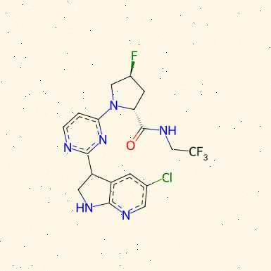 O=C(NCC(F)(F)F)[C@H]1C[C@H](F)CN1c1ccnc(C2CNc3ncc(Cl)cc32)n1